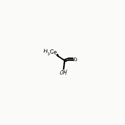 O=[C](O)[GeH3]